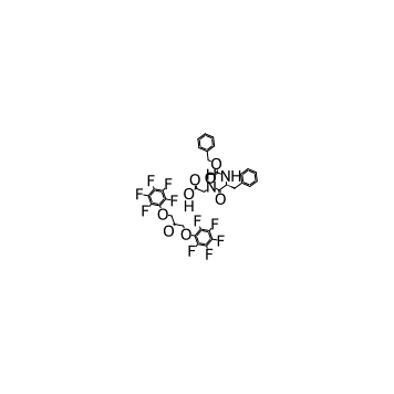 O=C(COc1c(F)c(F)c(F)c(F)c1F)COc1c(F)c(F)c(F)c(F)c1F.O=C(O)CNC(=O)[C@H](Cc1ccccc1)NC(=O)OCc1ccccc1